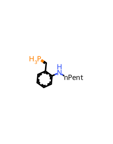 CCCCCNc1ccccc1C=[PH3]